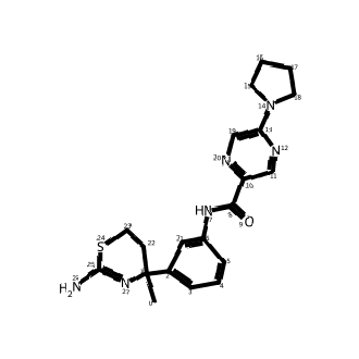 CC1(c2cccc(NC(=O)c3cnc(N4CCCC4)cn3)c2)CCSC(N)=N1